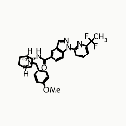 COc1ccc(CN2[C@H]3CC[C@@H]2[C@H](NC(=O)c2ccc4c(cnn4-c4cccc(C(C)(F)F)n4)c2)C3)cc1